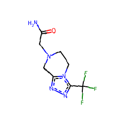 NC(=O)CN1CCn2c(nnc2C(F)(F)F)C1